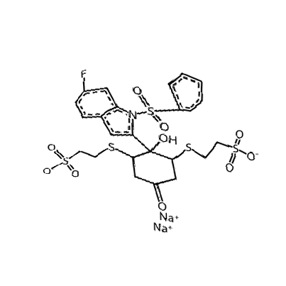 O=C1CC(SCCS(=O)(=O)[O-])C(O)(c2cc3ccc(F)cc3n2S(=O)(=O)c2ccccc2)C(SCCS(=O)(=O)[O-])C1.[Na+].[Na+]